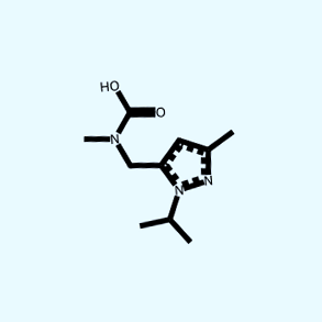 Cc1cc(CN(C)C(=O)O)n(C(C)C)n1